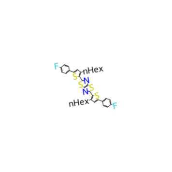 CCCCCCc1cc(-c2ccc(F)cc2)sc1-c1nc2sc(-c3sc(-c4ccc(F)cc4)cc3CCCCCC)nc2s1